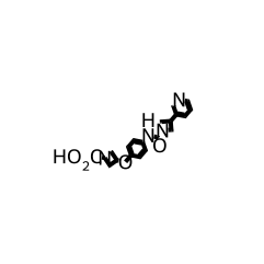 O=C(O)N1CC(Oc2ccc(NC(=O)N3CC(c4cccnc4)C3)cc2)C1